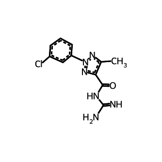 Cc1nn(-c2cccc(Cl)c2)nc1C(=O)NC(=N)N